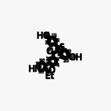 CCC(Oc1ccc(C(=O)c2c(-c3ccc(O)cc3)sc3cc(O)ccc23)cc1)C1CCCNC1